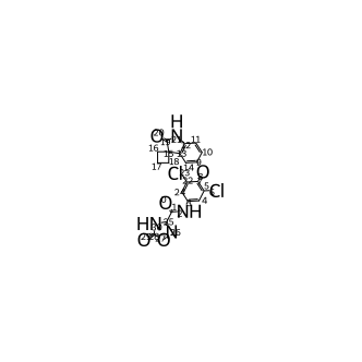 O=C(Nc1cc(Cl)c(Oc2ccc3c(c2)C2(CCC2)C(=O)N3)c(Cl)c1)c1noc(=O)[nH]1